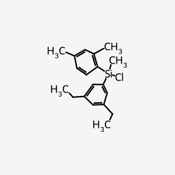 CCc1cc(CC)cc([Si](C)(Cl)c2ccc(C)cc2C)c1